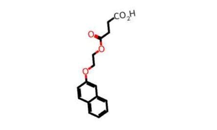 O=C(O)CCC(=O)OCCOc1ccc2ccccc2c1